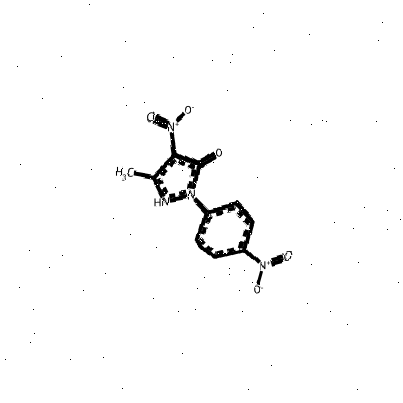 Cc1[nH]n(-c2ccc([N+](=O)[O-])cc2)c(=O)c1[N+](=O)[O-]